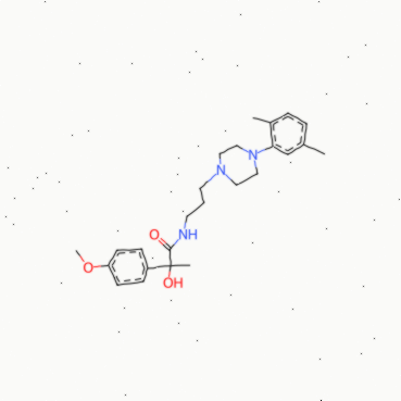 COc1ccc(C(C)(O)C(=O)NCCCN2CCN(c3cc(C)ccc3C)CC2)cc1